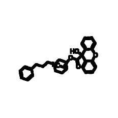 O=C(OC1C[N+]2(CCCc3ccccc3)CCC1CC2)C1(O)c2ccccc2Oc2ccccc21